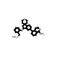 Nc1nccc2c(-c3ccc4c(c3)C(Oc3ccccc3CC(=O)O)CC43CCOCC3)cccc12